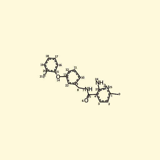 Cc1ccc(C(=O)NCc2cccc(Oc3ccccc3F)c2)c(N)n1